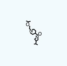 CC(C)OCCN1CCC(C(=O)N2CC(C(C)C)C2)CC1